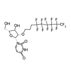 O=c1ccn([C@@H]2O[C@H](CO)C(O)[C@@H]2OCCCC(F)(F)C(F)(F)C(F)(F)C(F)(F)C(F)(F)C(F)(F)F)c(=O)[nH]1